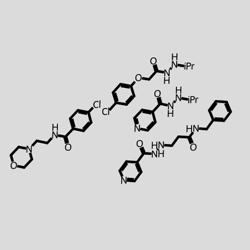 CC(C)NNC(=O)COc1ccc(Cl)cc1.CC(C)NNC(=O)c1ccncc1.O=C(CCNNC(=O)c1ccncc1)NCc1ccccc1.O=C(NCCN1CCOCC1)c1ccc(Cl)cc1